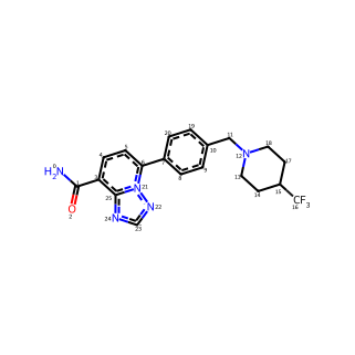 NC(=O)c1ccc(-c2ccc(CN3CCC(C(F)(F)F)CC3)cc2)n2n[c]nc12